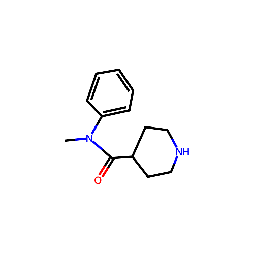 CN(C(=O)C1CCNCC1)c1ccccc1